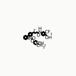 C[N+]1(C)CCC(OC(=O)Nc2cc(CCCC(=O)Nc3ccc(CO)c(C(F)(F)F)c3)ccc2-c2ccccc2)CC1.[I-]